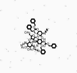 CC(=O)OC[C@H]1O[C@@H](O[C@@H]2[C@@H](O)[C@H](N)[C@@H](OCc3ccccc3)[C@H](NC(=O)OCc3ccccc3)[C@H]2O[C@H]2O[C@H](CN(Cc3ccccc3)C(=O)OCc3ccccc3)CC[C@H]2N=[N+]=[N-])[C@H](OC(C)=O)[C@@H]1O[C@H]1O[C@@H](CN=[N+]=[N-])[C@@H](OC(C)=O)[C@H](OC(C)=O)[C@H]1N=[N+]=[N-]